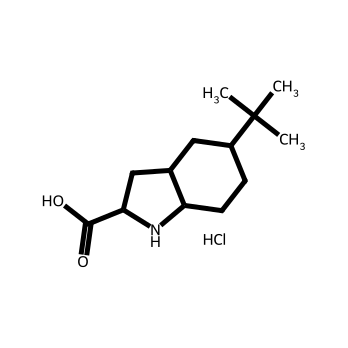 CC(C)(C)C1CCC2NC(C(=O)O)CC2C1.Cl